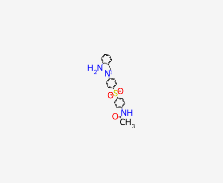 CC(=O)Nc1ccc(S(=O)(=O)c2ccc(/N=C/c3ccccc3N)cc2)cc1